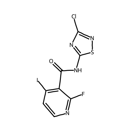 O=C(Nc1nc(Cl)ns1)c1c(I)ccnc1F